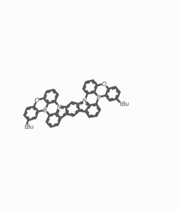 CC(C)(C)c1ccc2c(c1)B1c3c(cccc3-n3c4cc5c(cc4c4cccc1c43)c1cccc3c1n5-c1cccc4c1B3c1cc(C(C)(C)C)ccc1O4)O2